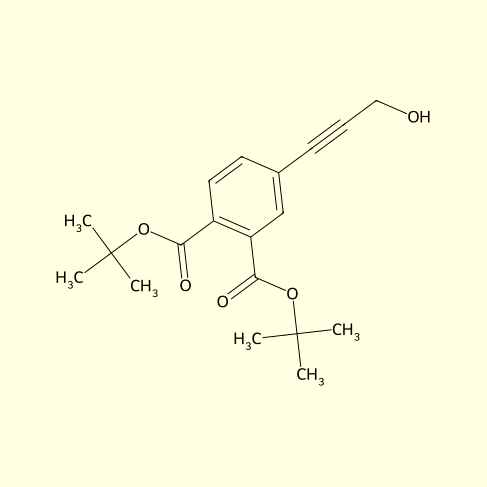 CC(C)(C)OC(=O)c1ccc(C#CCO)cc1C(=O)OC(C)(C)C